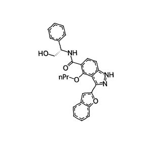 CCCOc1c(C(=O)N[C@H](CO)c2ccccc2)ccc2[nH]nc(-c3cc4ccccc4o3)c12